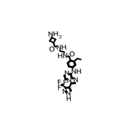 CCc1cc(Nc2nccn3c(-c4c[nH]nc4C(F)(F)F)cnc23)ccc1C(=O)NCCNC(=O)C1CC(N)C1